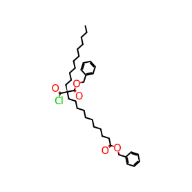 CCCCCCCCCCC[C@@](CCCCCCCCCCC(=O)OCc1ccccc1)(C(=O)Cl)C(=O)OCc1ccccc1